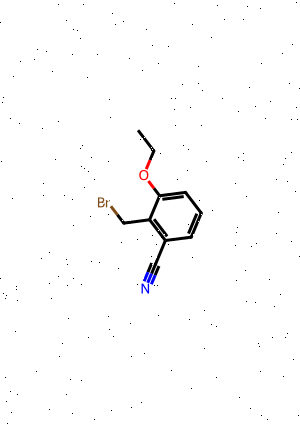 CCOc1cccc(C#N)c1CBr